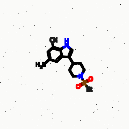 Bc1cc(C#N)c2[nH]cc(C3CCN(S(=O)(=O)CC)CC3)c2c1